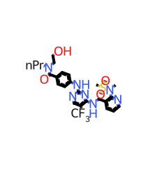 CCCN(CCO)C(=O)c1ccc(Nc2ncc(C(F)(F)F)c(NCc3cccnc3N(C)S(C)(=O)=O)n2)cc1